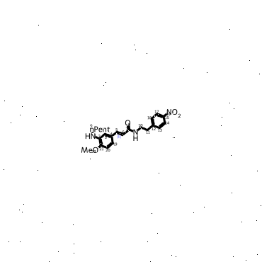 CCCCCNc1cc(/C=C/C(=O)NCCc2ccc([N+](=O)[O-])cc2)ccc1OC